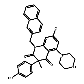 CC1(c2ccc(O)cc2)C(=O)c2c(N3CCNCC3)cc(Cl)cc2N(Cc2ccc3ccccc3n2)C1=O